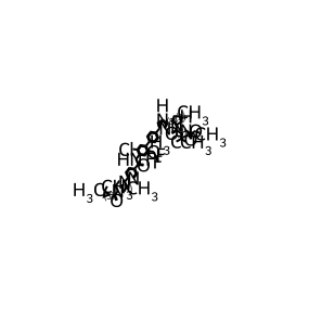 COC(=O)N[C@H](C(=O)N1C[C@@H](C)C[C@H]1c1nc(-c2ccc(-c3cc(Cl)c(NC(=O)c4ccc(N5CCN(C(=O)[C@H]6CC6(C)C)C[C@H]5C)nc4)cc3OC(F)(F)F)cc2)c[nH]1)C(C)C